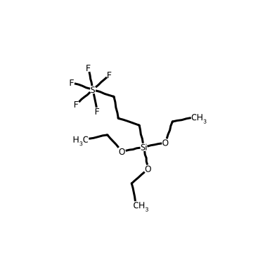 CCO[Si](CCCS(F)(F)(F)(F)F)(OCC)OCC